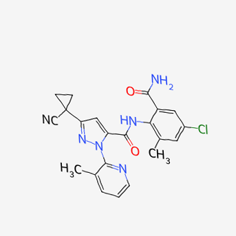 Cc1cccnc1-n1nc(C2(C#N)CC2)cc1C(=O)Nc1c(C)cc(Cl)cc1C(N)=O